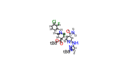 Cc1cc(Nc2cc(C(=O)N(C)C)c(F)c(C[C@@]3(C(=O)OC(C)(C)C)CCN(Cc4cccc(Cl)c4F)[C@H](C)C3)n2)nn1C(C)(C)C